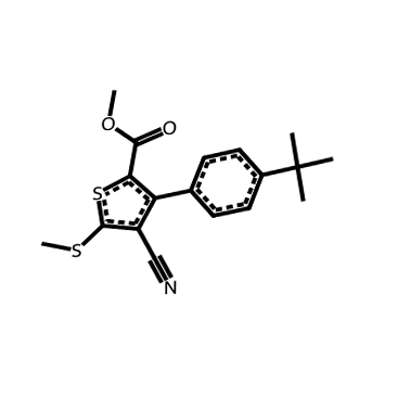 COC(=O)c1sc(SC)c(C#N)c1-c1ccc(C(C)(C)C)cc1